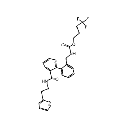 O=C(NCc1ccccc1-c1ccccc1C(=O)NCCc1ccccn1)OCCCC(F)(F)F